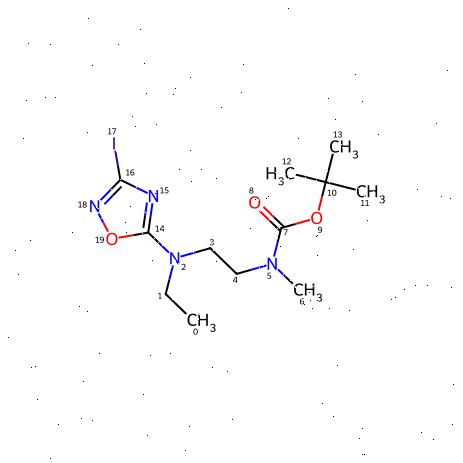 CCN(CCN(C)C(=O)OC(C)(C)C)c1nc(I)no1